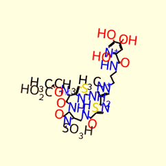 C[n+]1cc(-c2ncc(C(=O)NCC3C(NC(=O)/C(=N\OC(C)(C)C(=O)O)c4csc(N)n4)C(=O)N3S(=O)(=O)O)s2)cn1CCCNC(=O)c1cc(O)c(O)c[n+]1O